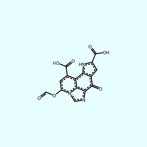 O=COc1cc(C(=O)O)c2c3[nH]c(C(=O)O)cc3c(=O)c3ncn1c32